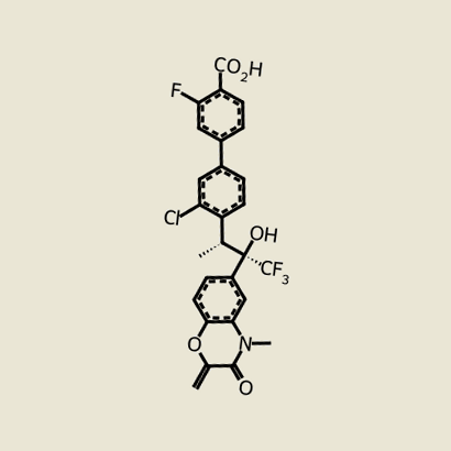 C=C1Oc2ccc([C@](O)([C@H](C)c3ccc(-c4ccc(C(=O)O)c(F)c4)cc3Cl)C(F)(F)F)cc2N(C)C1=O